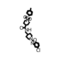 Cc1ccc(S(=O)(=O)N2CCC(C(=O)NCC3CCN(c4nc5cc(Cl)ccc5o4)CC3)CC2)cc1